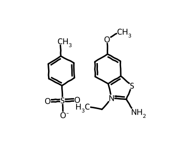 CC[n+]1c(N)sc2cc(OC)ccc21.Cc1ccc(S(=O)(=O)[O-])cc1